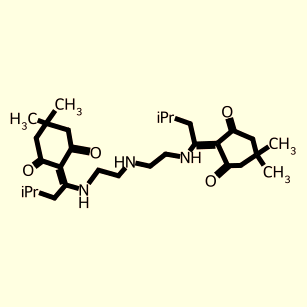 CC(C)CC(NCCNCCNC(CC(C)C)=C1C(=O)CC(C)(C)CC1=O)=C1C(=O)CC(C)(C)CC1=O